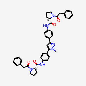 Cn1nc(-c2ccc(NC(=O)[C@@H]3CCCN3C(=O)Cc3ccccc3)cc2)cc1-c1ccc(NC(=O)[C@@H]2CCCN2C(=O)Cc2ccccc2)cc1